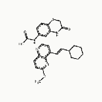 COc1ccc2nccc(/C=C/C3CCCCC3)c2n1.O=C(O)Nc1ccc2c(c1)NC(=O)CS2